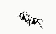 CCN1CC(C)N=C1CNC(=O)c1cc(Cl)c(N)cc1OC